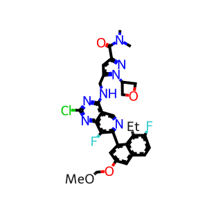 CCc1c(F)ccc2cc(OCOC)cc(-c3ncc4c(NCc5cc(C(=O)N(C)C)nn5C5COC5)nc(Cl)nc4c3F)c12